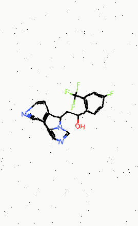 OC(CC1c2ccncc2-c2cncn21)c1ccc(F)cc1C(F)(F)F